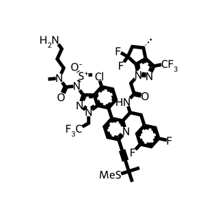 CSC(C)(C)C#Cc1ccc(-c2ccc(Cl)c3c(N(C(=O)N(C)CCCN)[S+](C)[O-])nn(CC(F)(F)F)c23)c(C(Cc2cc(F)cc(F)c2)NC(=O)Cn2nc(C(F)(F)F)c3c2C(F)(F)C[C@@H]3C)n1